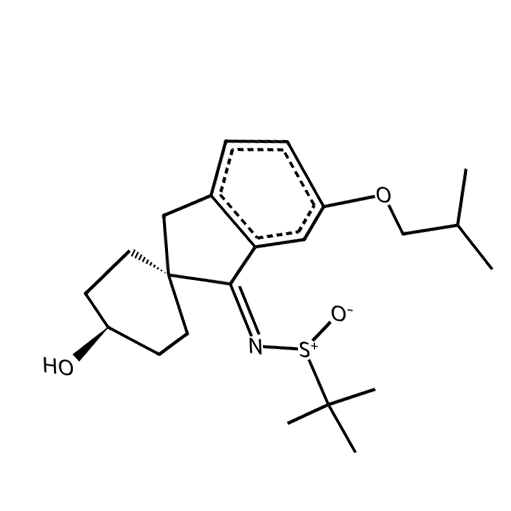 CC(C)COc1ccc2c(c1)C(=N[S+]([O-])C(C)(C)C)[C@]1(CC[C@H](O)CC1)C2